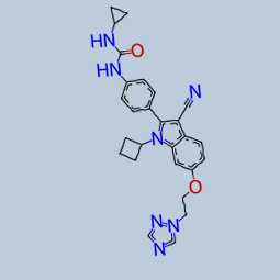 N#Cc1c(-c2ccc(NC(=O)NC3CC3)cc2)n(C2CCC2)c2cc(OCCn3cncn3)ccc12